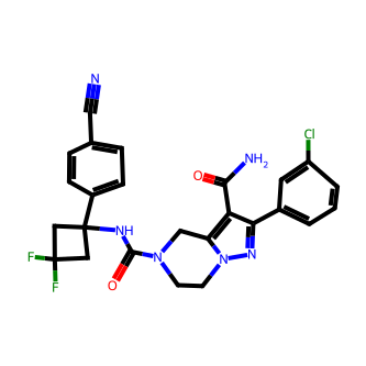 N#Cc1ccc(C2(NC(=O)N3CCn4nc(-c5cccc(Cl)c5)c(C(N)=O)c4C3)CC(F)(F)C2)cc1